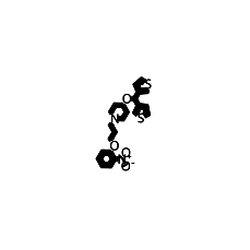 O=[N+]([O-])c1ccccc1OCCCN1CCC(OC(c2ccsc2)c2ccsc2)CC1